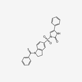 O=c1[nH]c(-c2ccccc2)cn1S(=O)(=O)c1ccc2c(c1)CCN2C(=S)c1ccccc1